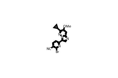 COc1cc2ncc(-c3ccc(C#N)c(Br)n3)n2nc1C1CC1